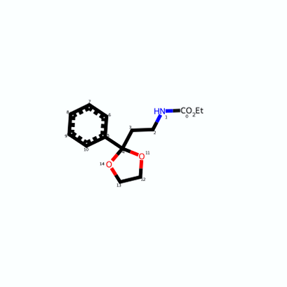 CCOC(=O)NCCC1(c2ccccc2)OCCO1